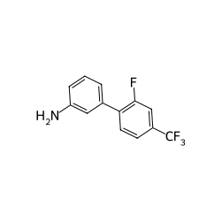 Nc1cccc(-c2ccc(C(F)(F)F)cc2F)c1